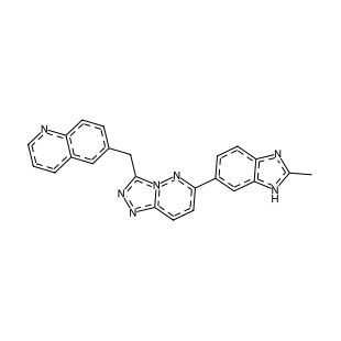 Cc1nc2ccc(-c3ccc4nnc(Cc5ccc6ncccc6c5)n4n3)cc2[nH]1